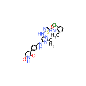 Cc1nc(NCc2ccc(C3CCC(=O)NC3=O)cc2)cc(Nc2ncc(C(=O)Nc3c(C)cccc3Cl)s2)n1